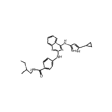 CCC(C)CNC(=O)c1ccc(Nc2nc(Nc3cc(C4CC4)[nH]n3)c3ccccc3n2)cc1